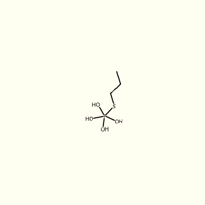 CCCSI(O)(O)(O)O